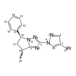 CC(C)c1cnn(-c2nc3n(n2)[C@H](c2ccccc2)C[C@@H]3F)c1